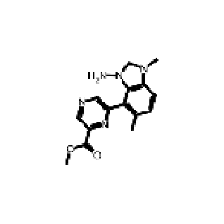 COC(=O)c1cncc(-c2c(C)ccc3c2N(N)CN3C)n1